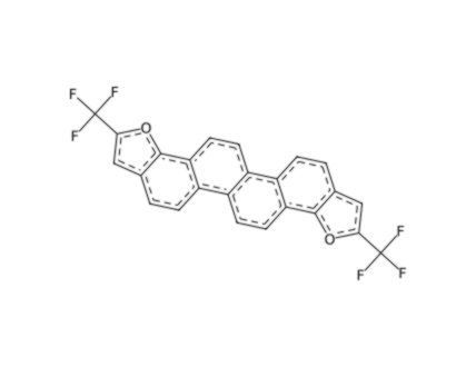 FC(F)(F)c1cc2ccc3c4ccc5c(ccc6cc(C(F)(F)F)oc65)c4ccc3c2o1